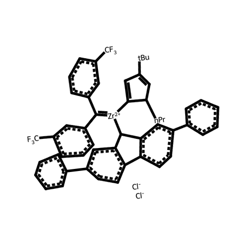 CCCC1C=C(C(C)(C)C)C=[C]1[Zr+2](=[C](c1cccc(C(F)(F)F)c1)c1cccc(C(F)(F)F)c1)[CH]1c2cc(-c3ccccc3)ccc2-c2ccc(-c3ccccc3)cc21.[Cl-].[Cl-]